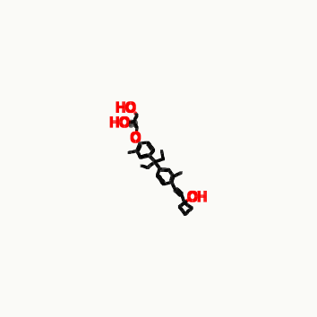 CCC(CC)(c1ccc(C#CC2(O)CCC2)c(C)c1)c1ccc(OC[C@@H](O)CO)c(C)c1